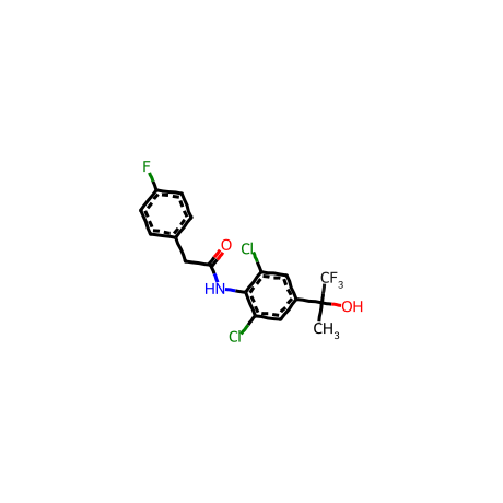 CC(O)(c1cc(Cl)c(NC(=O)Cc2ccc(F)cc2)c(Cl)c1)C(F)(F)F